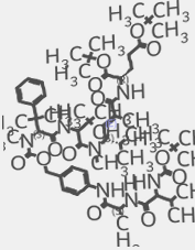 C/C(=C\[C@H](C(C)C)N(C)C(=O)C(NC(=O)[C@@H](N(C)C(=O)OCc1ccc(NC(=O)[C@H](C)NC(=O)C(NC(=O)OC(C)(C)C)C(C)C)cc1)C(C)(C)c1ccccc1)C(C)(C)C)C(=O)N[C@H](CCC(=O)OC(C)(C)C)C(=O)OC(C)(C)C